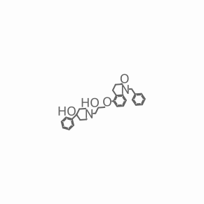 O=C1CCc2c(OCC(O)CN3CCC(O)(c4ccccc4)CC3)cccc2N1Cc1ccccc1